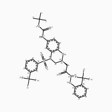 CC(C)(C)OC(=O)Nc1ccc2c(c1)N(S(=O)(=O)c1cccc(C(F)(F)F)c1)C[C@H](CC(=O)NOc1ccccc1C(F)(F)F)O2